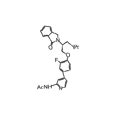 CC(=O)Nc1cc(-c2ccc(OC[C@H](CC(C)C)N3Cc4ccccc4C3=O)c(F)c2)ccn1